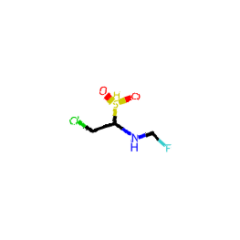 O=[SH](=O)C(CCl)NCF